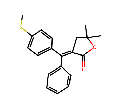 CSc1ccc(C(=C2CC(C)(C)OC2=O)c2ccccc2)cc1